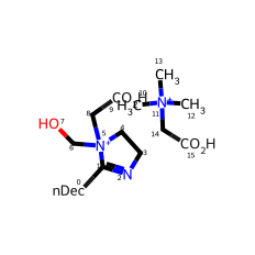 CCCCCCCCCCC1=NCC[N+]1(CO)CC(=O)O.C[N+](C)(C)CC(=O)O